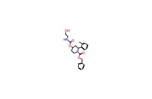 Cc1ccccc1C1CC(OC(=O)NCCO)CCN1C(=O)OCc1ccccc1